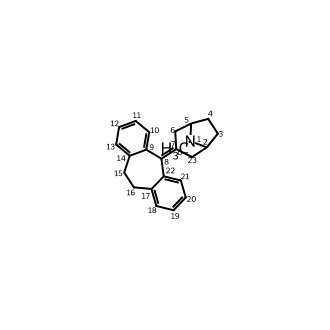 CN1C2CCC1CC(=C1c3ccccc3CCc3ccccc31)C2